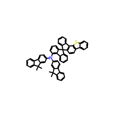 CC1(C)c2ccccc2-c2ccc(N(c3ccc4c(c3)C(C)(C)c3ccccc3-4)c3cccc4c3-c3ccccc3C43c4ccccc4-c4c3ccc3c4sc4ccccc43)cc21